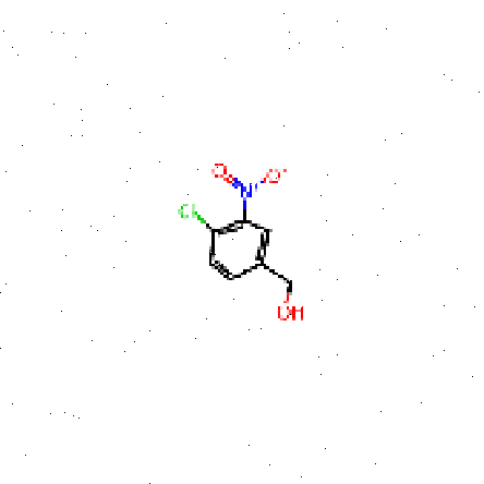 O=[N+]([O-])c1cc([CH]O)ccc1Cl